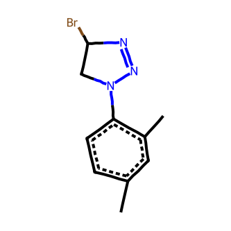 Cc1ccc(N2CC(Br)N=N2)c(C)c1